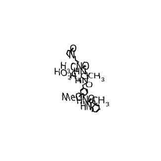 COc1cc(CC(=O)NCC(C)(C)CNC(=O)N(CCCN2CCCC2=O)C(C)CC(=O)O)ccc1NC(=O)Nc1ccccc1C